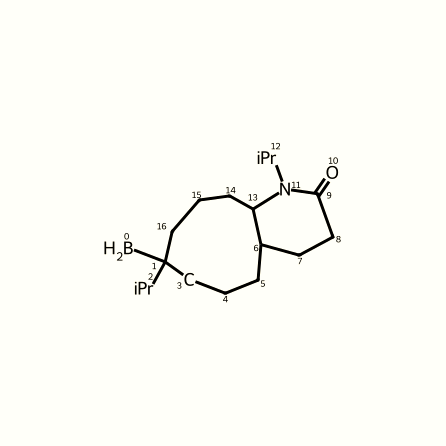 BC1(C(C)C)CCCC2CCC(=O)N(C(C)C)C2CCC1